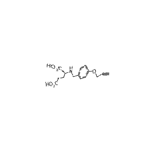 C#CCOc1ccc(CN[C@@H](CCC(=O)O)C(=O)O)cc1